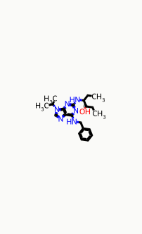 CCC(Nc1nc(NCc2ccccc2)c2ncn(C(C)C)c2n1)[C@H](O)CC